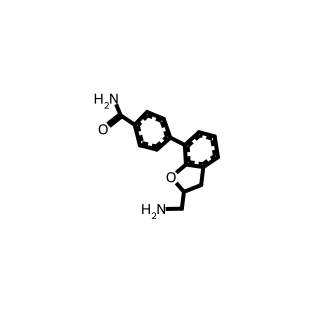 NCC1Cc2cccc(-c3ccc(C(N)=O)cc3)c2O1